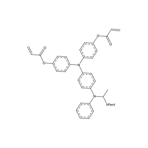 C=CC(=O)Oc1ccc(N(c2ccc(OC(=O)C=C)cc2)c2ccc(N(c3ccccc3)C(C)CCCCC)cc2)cc1